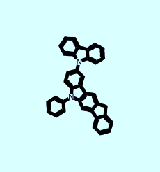 c1ccc(-n2c3ccc(-n4c5ccccc5c5ccccc54)cc3c3cc4c(cc32)-c2ccccc2C4)cc1